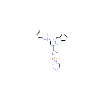 O=C(c1ccccc1Cl)n1nc(C2CN(S(=O)(=O)N3CCNCC3)C2)cc1NCc1ccc(Cl)s1